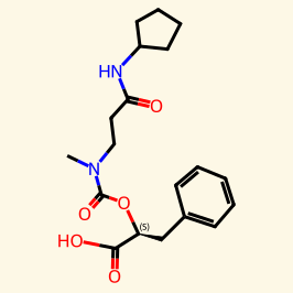 CN(CCC(=O)NC1CCCC1)C(=O)O[C@@H](Cc1ccccc1)C(=O)O